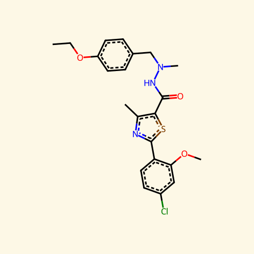 CCOc1ccc(CN(C)NC(=O)c2sc(-c3ccc(Cl)cc3OC)nc2C)cc1